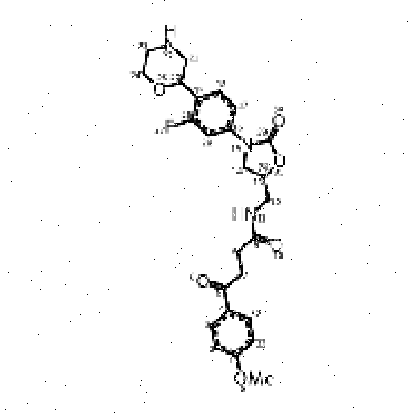 COc1ccc(C(=O)CCC(=O)NC[C@H]2CN(c3ccc(C4CNCCO4)c(F)c3)C(=O)O2)cc1